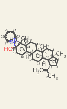 C=C(C)[C@@H]1CC[C@]2(C)CC[C@]3(C)[C@H](CC[C@@H]4[C@@]5(C)CC[C@](O)([n+]6ccccc6)C(C)(C)[C@@H]5CC[C@]43C)[C@@H]12